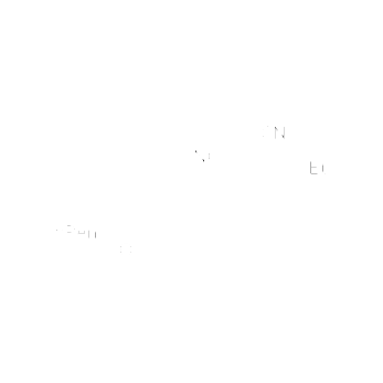 CCCCCOc1ccc(-c2ccc(CC)c(C#N)c2C#N)cc1